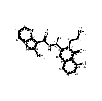 C[C@H](NC(=O)c1c(N)nn2cccnc12)c1cc2cccc(Cl)c2c(=O)n1CCN